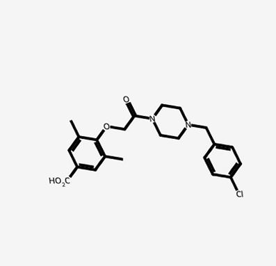 Cc1cc(C(=O)O)cc(C)c1OCC(=O)N1CCN(Cc2ccc(Cl)cc2)CC1